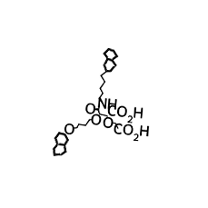 O=C(O)COC(C(=O)O)C(OCCCCOc1ccc2ccccc2c1)C(=O)NCCCCCc1ccc2ccccc2c1